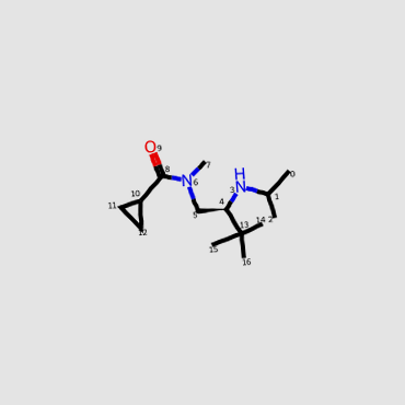 CC(C)N[C@H](CN(C)C(=O)C1CC1)C(C)(C)C